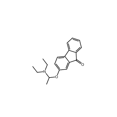 CCN(CC)C(C)Oc1ccc2c(c1)C(=O)c1ccccc1-2